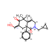 CC1(C)C(=O)/C(=C\O)CC2(c3ccccc3)C(=O)N(CC3CC3)CC=C12